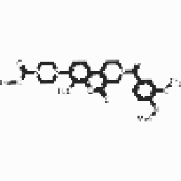 CSNc1ccc(C(=O)N2CCc3c(c(=O)oc4c(C)c(N5CCN(C(=O)OC(C)(C)C)CC5)ccc34)C2)cc1OC(F)(F)F